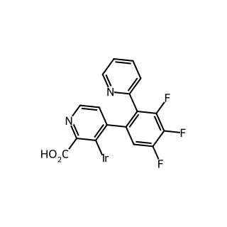 O=C(O)c1nccc(-c2cc(F)c(F)c(F)c2-c2ccccn2)[c]1[Ir]